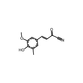 COc1cc(/C=C/C(=O)C#N)cc(C)c1O